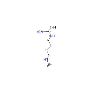 CC(C)NCCCCNC(=N)N